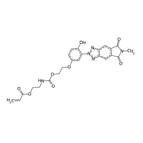 C=CC(=O)OCCNC(=O)OCCOc1ccc(O)c(-n2nc3cc4c(cc3n2)C(=O)N(C)C4=O)c1